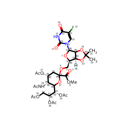 COC(=O)[C@@]1(OC[C@H]2O[C@@H](n3cc(F)c(=O)[nH]c3=O)C3OC(C)(C)O[C@H]32)C[C@@H](OC(C)=O)[C@@H](NC(C)=O)C([C@H](OC(C)=O)[C@@H](COC(C)=O)OC(C)=O)O1